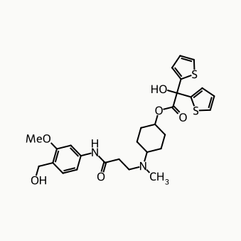 COc1cc(NC(=O)CCN(C)C2CCC(OC(=O)C(O)(c3cccs3)c3cccs3)CC2)ccc1CO